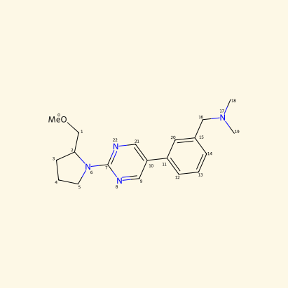 COCC1CCCN1c1ncc(-c2cccc(CN(C)C)c2)cn1